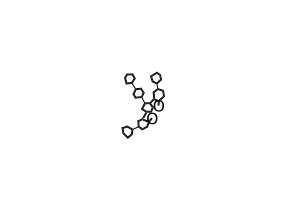 c1ccc(-c2ccc(-c3cc4c5cc(-c6ccccc6)ccc5oc4c4oc5ccc(-c6ccccc6)cc5c34)cc2)cc1